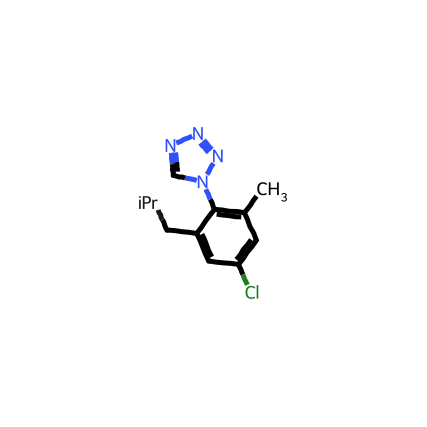 Cc1cc(Cl)cc(CC(C)C)c1-n1cnnn1